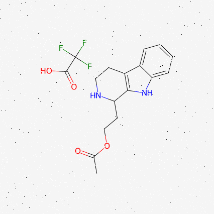 CC(=O)OCCC1NCCc2c1[nH]c1ccccc21.O=C(O)C(F)(F)F